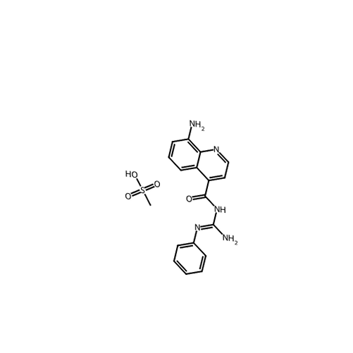 CS(=O)(=O)O.NC(=Nc1ccccc1)NC(=O)c1ccnc2c(N)cccc12